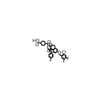 O=C(O)C1CCC(C(=O)N2CC[C@@]3(S(=O)(=O)c4ccc(F)cc4)c4ccc(OCc5cc(F)c(F)cc5Cl)cc4CC[C@@H]23)CC1